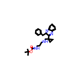 CC(C)(C)OC(=O)NCCCNCC1(c2nc3ccccc3nc2Cc2ccccc2)CC1